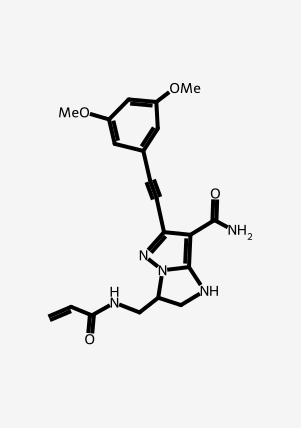 C=CC(=O)NCC1CNc2c(C(N)=O)c(C#Cc3cc(OC)cc(OC)c3)nn21